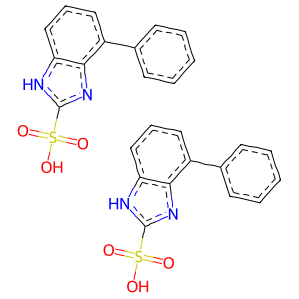 O=S(=O)(O)c1nc2c(-c3ccccc3)cccc2[nH]1.O=S(=O)(O)c1nc2c(-c3ccccc3)cccc2[nH]1